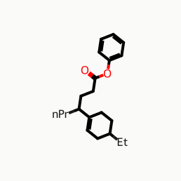 CCCC(CCC(=O)Oc1ccccc1)C1=CCC(CC)CC1